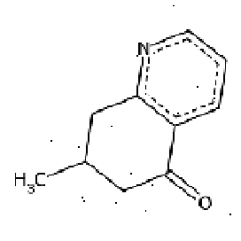 CC1CC(=O)c2cccnc2C1